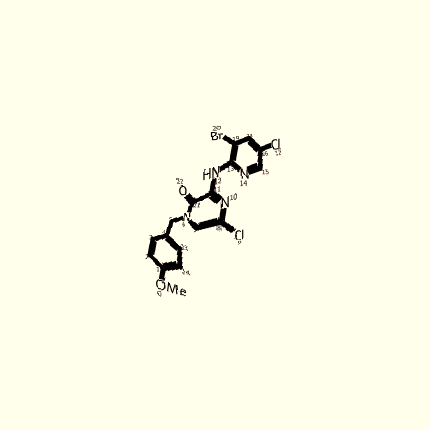 COc1ccc(Cn2cc(Cl)nc(Nc3ncc(Cl)cc3Br)c2=O)cc1